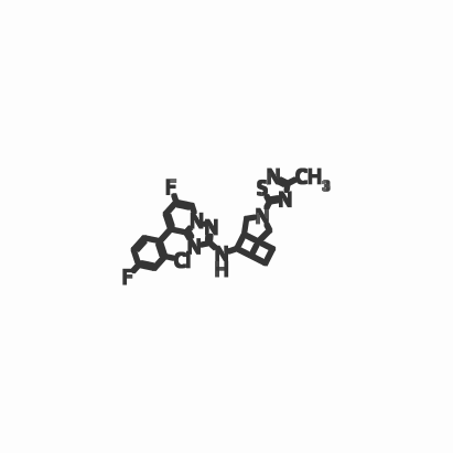 Cc1nsc(N2CC3C(Nc4nc5c(-c6ccc(F)cc6Cl)cc(F)cn5n4)C4CCC43C2)n1